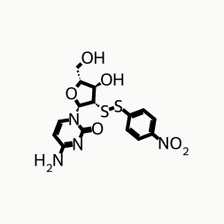 Nc1ccn([C@@H]2O[C@H](CO)[C@@H](O)[C@@H]2SSc2ccc([N+](=O)[O-])cc2)c(=O)n1